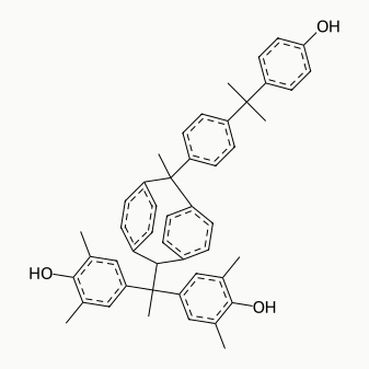 Cc1cc(C(C)(c2cc(C)c(O)c(C)c2)C2c3ccc(cc3)C(C)(c3ccc(C(C)(C)c4ccc(O)cc4)cc3)c3ccc2cc3)cc(C)c1O